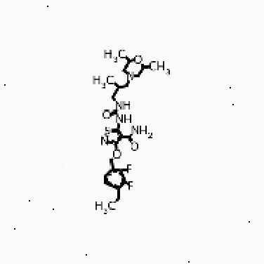 CCc1ccc(COc2nsc(NC(=O)NCC(C)CN3CC(C)OC(C)C3)c2C(N)=O)c(F)c1F